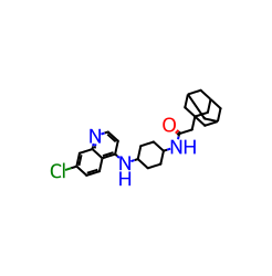 O=C(CC12CC3CC(CC(C3)C1)C2)NC1CCC(Nc2ccnc3cc(Cl)ccc23)CC1